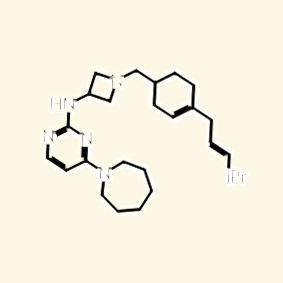 CC(C)C=CCC1=CCC(CN2CC(Nc3nccc(N4CCCCCC4)n3)C2)CC1